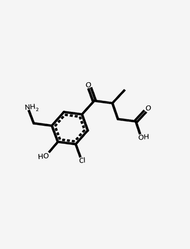 CC(CC(=O)O)C(=O)c1cc(Cl)c(O)c(CN)c1